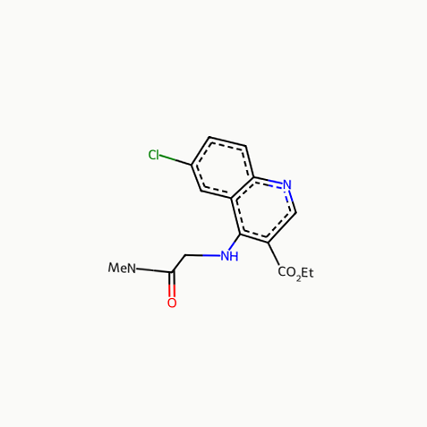 CCOC(=O)c1cnc2ccc(Cl)cc2c1NCC(=O)NC